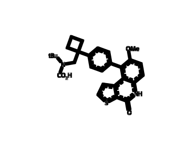 COc1ccc2[nH]c(=O)c3sccc3c2c1-c1ccc(C2(CN(C(=O)O)C(C)(C)C)CCC2)cc1